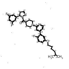 CC(C)CCCCOc1ccc(F)c(-c2ccnc(N3CCC(C(=O)N4N=CCC4c4cc(F)cc(F)c4)CC3)c2)c1